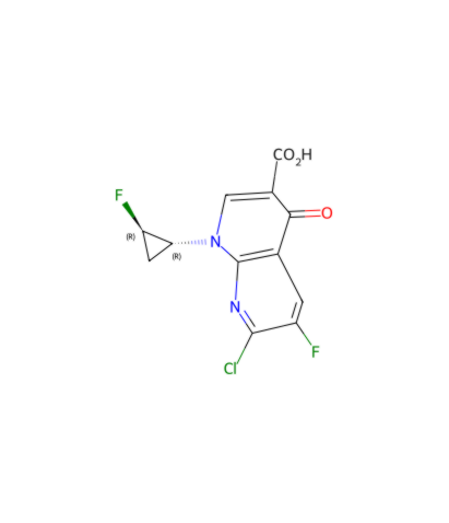 O=C(O)c1cn([C@@H]2C[C@H]2F)c2nc(Cl)c(F)cc2c1=O